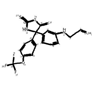 C=CCNc1cccc(C2(c3ccc(OC(F)(F)F)cc3)NC(=S)SC2=S)c1